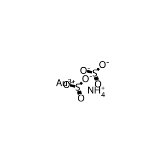 O=S([O-])[O-].O=S([O-])[O-].[Au+3].[NH4+]